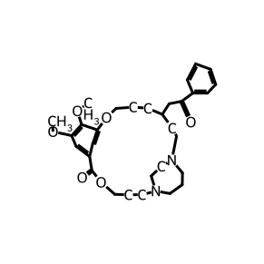 COc1cc2cc(c1OC)OCCCC(CC(=O)c1ccccc1)CCN1CCCN(CCCOC2=O)CC1